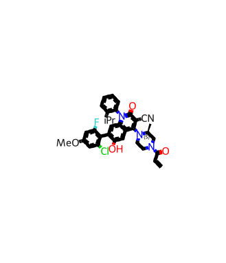 C=CC(=O)N1CCN(c2c(C#N)c(=O)n(-c3ccccc3C(C)C)c3cc(-c4c(F)cc(OC)cc4Cl)c(O)cc23)[C@@H](C)C1